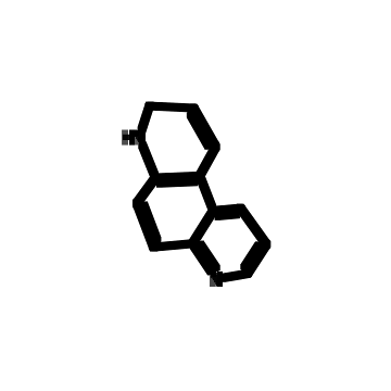 C1=Cc2c(ccc3ncccc23)NC1